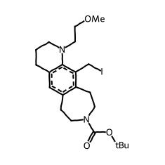 COCCN1CCCc2cc3c(c(CI)c21)CCN(C(=O)OC(C)(C)C)CC3